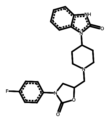 O=C1OC(CN2CCC(n3c(=O)[nH]c4ccccc43)CC2)CN1c1ccc(F)cc1